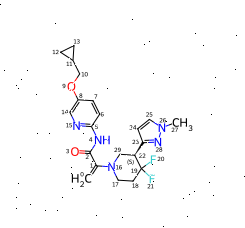 C=C(C(=O)Nc1ccc(OCC2CC2)cn1)N1CCC(F)(F)[C@H](c2ccn(C)n2)C1